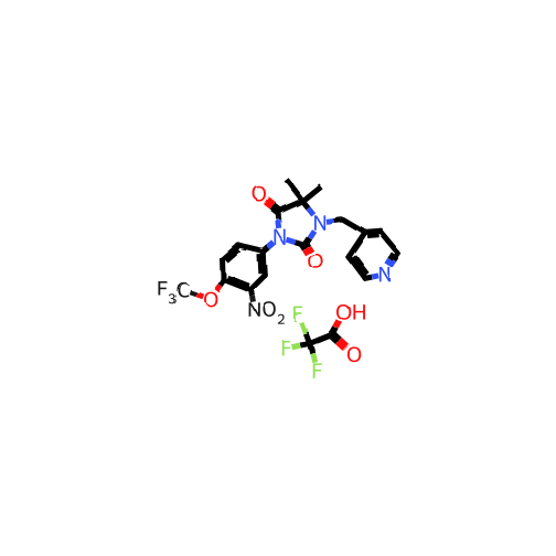 CC1(C)C(=O)N(c2ccc(OC(F)(F)F)c([N+](=O)[O-])c2)C(=O)N1Cc1ccncc1.O=C(O)C(F)(F)F